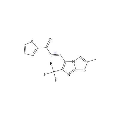 Cc1cn2c(/C=C/C(=O)c3cccs3)c(C(F)(F)F)nc2s1